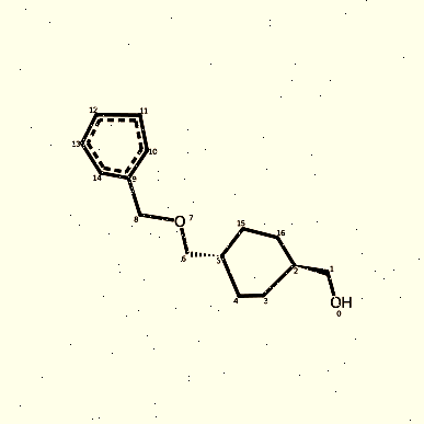 OC[C@H]1CC[C@H](COCc2ccccc2)CC1